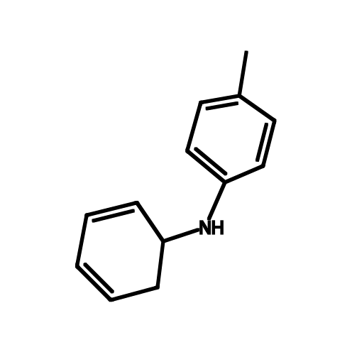 Cc1ccc(NC2C=CC=CC2)cc1